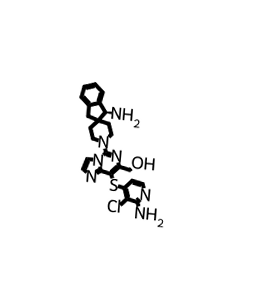 Nc1nccc(Sc2c(CO)nc(N3CCC4(CC3)Cc3ccccc3[C@H]4N)n3ccnc23)c1Cl